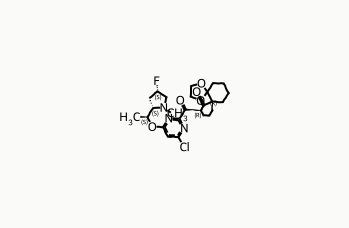 C[C@H](Oc1cc(Cl)nc(C(=O)[C@@H]2CCC[C@@]3(CCCCC34OCCO4)C2=O)n1)[C@@H]1C[C@H](F)CN1C